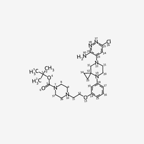 CC(C)(C)OC(=O)N1CCN(CCOc2cccc(N3CCN(c4cc(Cl)nnc4N)CC34CC4)c2)CC1